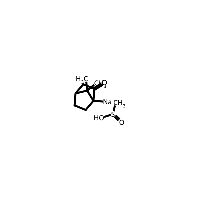 CC1(C)C2CC[C]1([Na])C(=O)C2.CS(=O)O